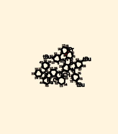 CC(C)c1ccc2c(c1)N(c1ccc(C(C)(C)C)cc1C1=CC=C=C=C1)c1cc(N3c4ccc([Si](c5ccccc5)(c5ccccc5)c5ccccc5)cc4C4(C)CCCCC34C)cc3c1B2c1cc(C(C)(C)C)ccc1N3c1ccc(C(C)(C)C)cc1